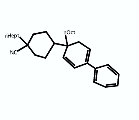 CCCCCCCCC1(C2CCC(C#N)(CCCCCCC)CC2)C=CC(c2ccccc2)=CC1